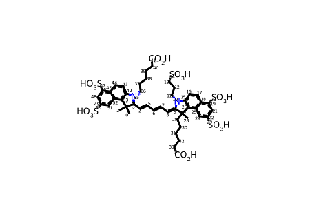 CC1(C)C(/C=C/C=C/C=C2\N(CCCS(=O)(=O)O)c3ccc4c(S(=O)(=O)O)cc(S(=O)(=O)O)cc4c3C2(C)CCCCCC(=O)O)=[N+](CCCCCC(=O)O)c2ccc3c(S(=O)(=O)O)cc(S(=O)(=O)O)cc3c21